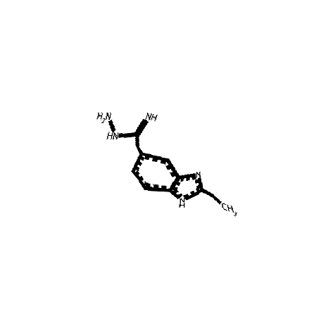 Cc1nc2cc(C(=N)NN)ccc2[nH]1